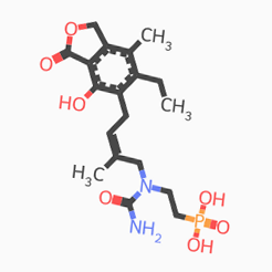 CCc1c(C)c2c(c(O)c1CC=C(C)CN(CCP(=O)(O)O)C(N)=O)C(=O)OC2